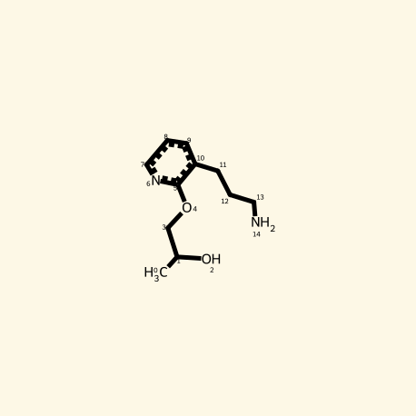 CC(O)COc1ncccc1CCCN